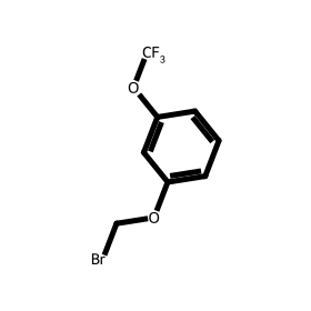 FC(F)(F)Oc1cccc(OCBr)c1